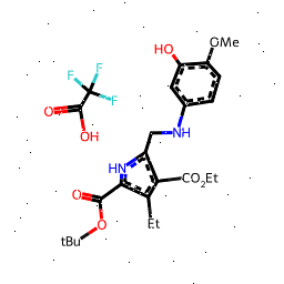 CCOC(=O)c1c(CNc2ccc(OC)c(O)c2)[nH]c(C(=O)OC(C)(C)C)c1CC.O=C(O)C(F)(F)F